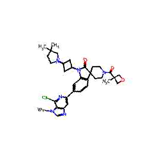 CC(C)n1cnc2cc(-c3ccc4c(c3)N(C3CC(N5CCC(C)(C)C5)C3)C(=O)C43CCN(C(=O)C4(C)COC4)CC3)nc(Cl)c21